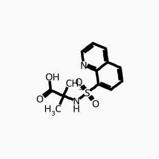 CC(C)(NS(=O)(=O)c1cccc2cccnc12)C(=O)O